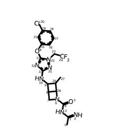 CC(=N)NC(=O)N1CC2C(Nc3nc(Oc4cccc(Cl)c4)n(CC(F)(F)F)n3)C(C)C21